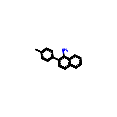 Cc1ccc(-c2ccc3ccccc3c2N)cc1